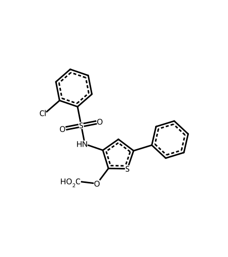 O=C(O)Oc1sc(-c2ccccc2)cc1NS(=O)(=O)c1ccccc1Cl